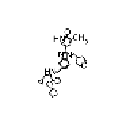 Cc1cc(-c2nc3cc(CN[C@H](CC4CC4)C(=O)OC4CCCC4)ccc3n2CC2CCOCC2)c[nH]c1=O